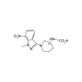 Cn1nc(N2CCC[C@@H](NC(=O)O)C2)c2cccc([N+](=O)[O-])c21